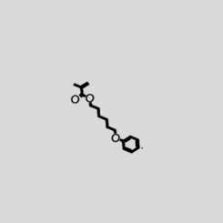 C=C(C)C(=O)OCCCCCCOc1cc[c]cc1